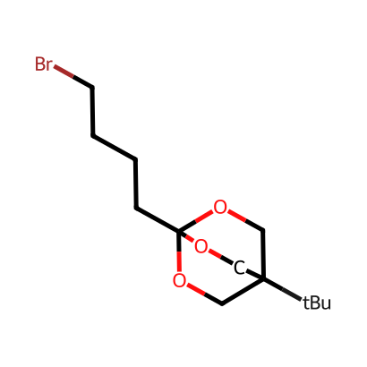 CC(C)(C)C12COC(CCCCBr)(OC1)OC2